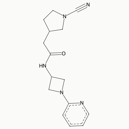 N#CN1CCC(CC(=O)NC2CN(c3ccccn3)C2)C1